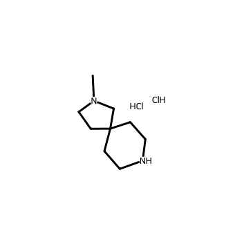 CN1CCC2(CCNCC2)C1.Cl.Cl